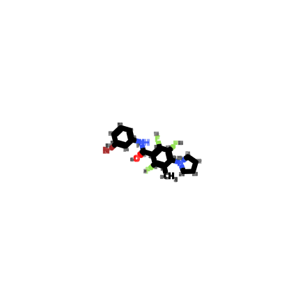 Cc1c(F)c(C(=O)Nc2cccc(Br)c2)c(F)c(F)c1N1CCCC1